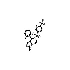 O=S(=O)(c1ccc(C(F)(F)F)nc1)N1C=CC2NN=CC2C1c1ccccc1I